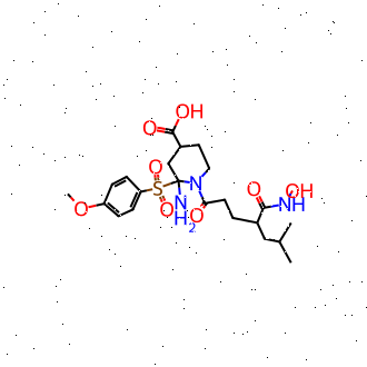 COc1ccc(S(=O)(=O)C2(N)CC(C(=O)O)CCN2C(=O)CCC(CC(C)C)C(=O)NO)cc1